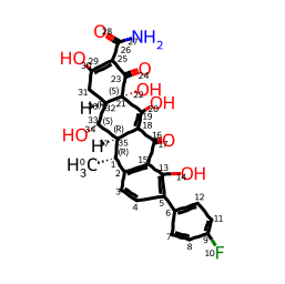 C[C@H]1c2ccc(-c3ccc(F)cc3)c(O)c2C(=O)C2=C(O)[C@]3(O)C(=O)C(C(N)=O)=C(O)C[C@@H]3[C@@H](O)[C@@H]21